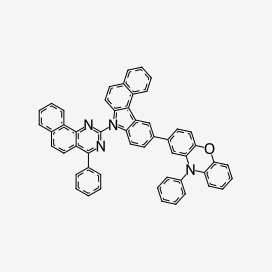 c1ccc(-c2nc(-n3c4ccc(-c5ccc6c(c5)N(c5ccccc5)c5ccccc5O6)cc4c4c5ccccc5ccc43)nc3c2ccc2ccccc23)cc1